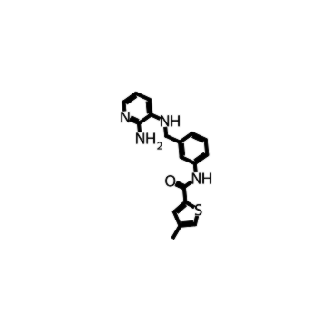 Cc1csc(C(=O)Nc2cccc(CNc3cccnc3N)c2)c1